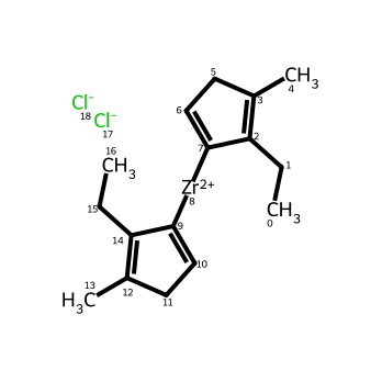 CCC1=C(C)CC=[C]1[Zr+2][C]1=CCC(C)=C1CC.[Cl-].[Cl-]